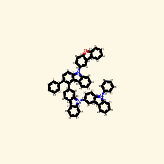 c1ccc(-c2ccc3c(c2-c2ccc4c5ccccc5n(-c5ccc6c(c5)c5ccccc5n6-c5ccccc5)c4c2)c2ccccc2n3-c2ccc3oc4ccccc4c3c2)cc1